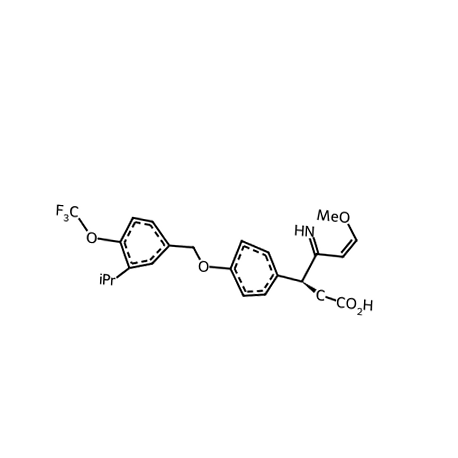 CO/C=C\C(=N)[C@@H](CC(=O)O)c1ccc(OCc2ccc(OC(F)(F)F)c(C(C)C)c2)cc1